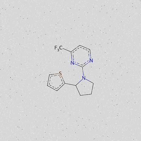 FC(F)(F)c1ccnc(N2CCCC2c2cccs2)n1